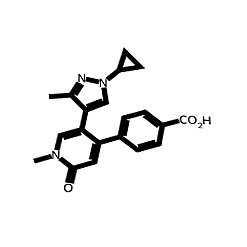 Cc1nn(C2CC2)cc1-c1cn(C)c(=O)cc1-c1ccc(C(=O)O)cc1